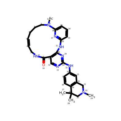 CC(=O)N1CCC/C=C\CNC(=O)c2cnc(Nc3ccc4c(c3)CN(C)CC4(C)C)nc2Nc2cccc1n2